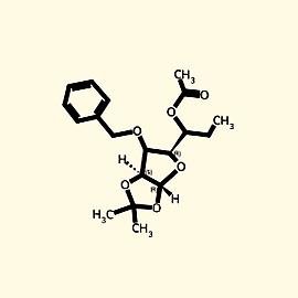 CCC(OC(C)=O)[C@H]1O[C@@H]2OC(C)(C)O[C@H]2C1OCc1ccccc1